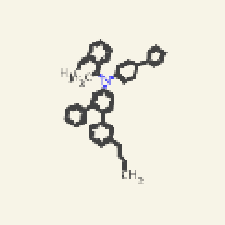 C=CCCc1cccc(-c2ccc(N(C3=CCC(c4ccccc4)C=C3)/C(C)=c3\cccc\c3=C\C)cc2-c2ccccc2)c1